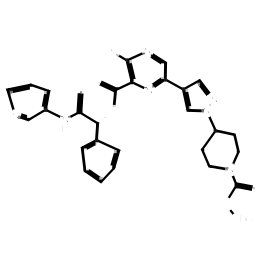 CC(C)(C)OC(=O)N1CCC(n2cc(-c3cnc(N)c(C(=O)O[C@@H](C(=O)Nc4cccnc4)c4ccccc4)n3)cn2)CC1